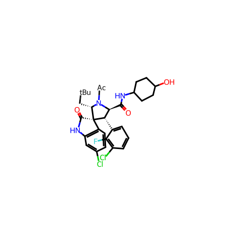 CC(=O)N1[C@@H](CC(C)(C)C)[C@@]2(C(=O)Nc3cc(Cl)ccc32)[C@@H](c2cccc(Cl)c2F)[C@@H]1C(=O)NC1CCC(O)CC1